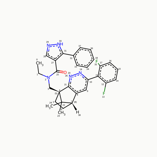 CCN(C[C@@]12CC[C@@H](c3cc(-c4c(F)cccc4F)nnc31)C2(C)C)C(=O)c1cn[nH]c1-c1ccccc1